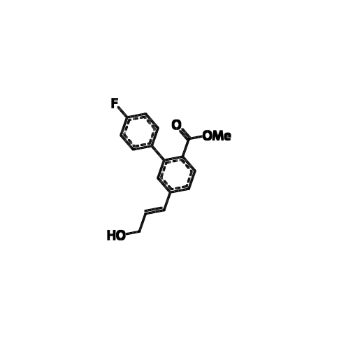 COC(=O)c1ccc(/C=C/CO)cc1-c1ccc(F)cc1